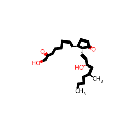 CCCC[C@H](C)C[C@H](O)/C=C/[C@H]1C(=O)C=C[C@@H]1C/C=C\CCCC(=O)CO